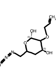 C=CCOC1[C@@H](O)CC(CN=[N+]=[N-])O[C@@H]1O